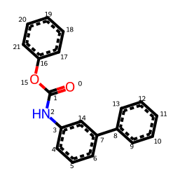 O=C(Nc1cccc(-c2ccccc2)c1)Oc1ccccc1